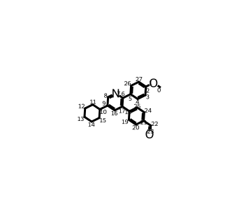 COc1ccc(-c2ncc(C3CCCCC3)cc2-c2ccc(C=O)cc2)cc1